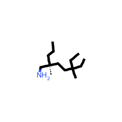 CCC[C@](C)(CN)CCC(C)(CC)CC